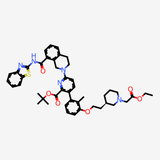 CCOC(=O)CN1CCC[C@H](CCOc2cccc(-c3ccc(N4CCc5cccc(C(=O)Nc6nc7ccccc7s6)c5C4)nc3C(=O)OC(C)(C)C)c2C)C1